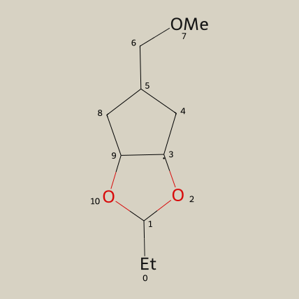 CCC1O[C]2CC(COC)CC2O1